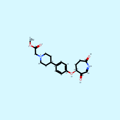 CC(C)(C)OC(=O)CN1CCC(c2ccc(O[C@H]3CCC(=O)N=CC3=O)cc2)CC1